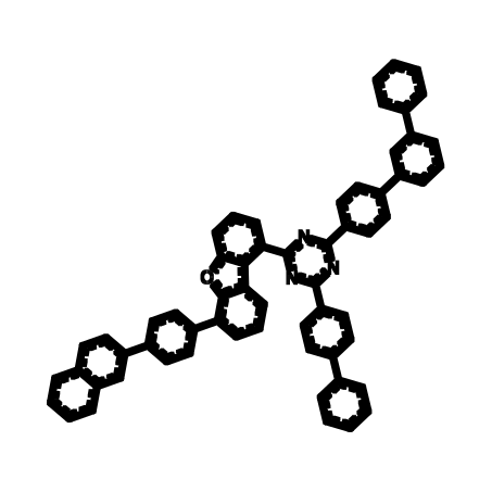 c1ccc(-c2ccc(-c3nc(-c4ccc(-c5cccc(-c6ccccc6)c5)cc4)nc(-c4cccc5oc6c(-c7ccc(-c8ccc9ccccc9c8)cc7)cccc6c45)n3)cc2)cc1